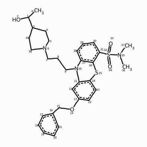 CC(O)C1CCN(CCCN2c3cc(OCc4ccccc4)ccc3Sc3c2cccc3S(=O)(=O)N(C)C)CC1